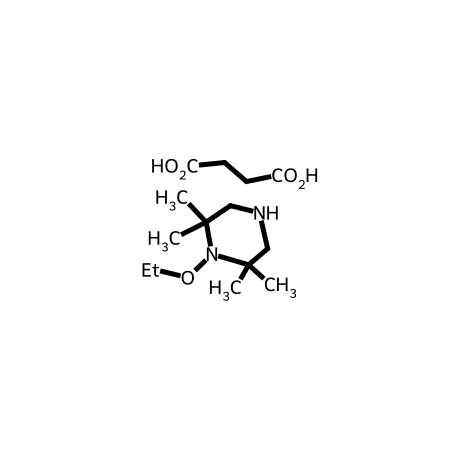 CCON1C(C)(C)CNCC1(C)C.O=C(O)CCC(=O)O